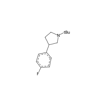 CC(C)(C)N1CCC(c2ccc(F)cc2)C1